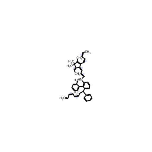 C=C/C=C\C=C/C(C)C(c1ccccc1)c1cccc(N/C=C/C=C2/C(/C=C\C=C/C)=C(C)C(C)(C)/C2=C/C)c1-c1ccccc1C